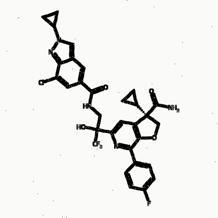 NC(=O)[C@@]1(C2CC2)COc2c1cc(C(O)(CNC(=O)c1cc(Cl)c3nn(C4CC4)cc3c1)C(F)(F)F)nc2-c1ccc(F)cc1